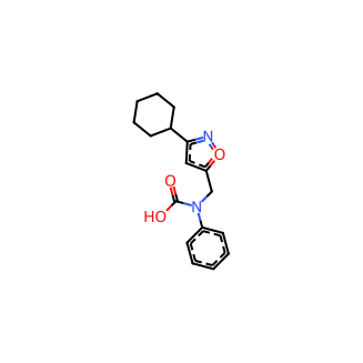 O=C(O)N(Cc1cc(C2CCCCC2)no1)c1ccccc1